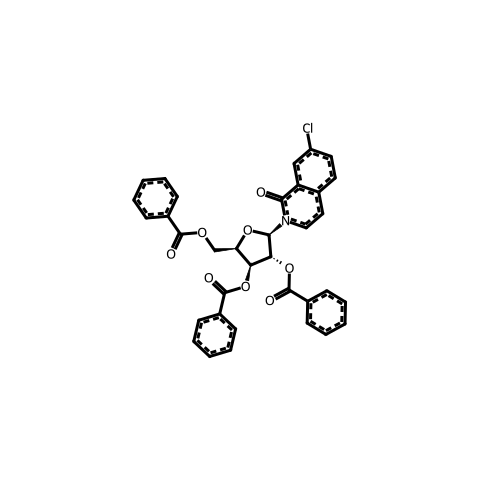 O=C(OC[C@H]1O[C@@H](n2ccc3ccc(Cl)cc3c2=O)[C@H](OC(=O)c2ccccc2)[C@H]1OC(=O)c1ccccc1)c1ccccc1